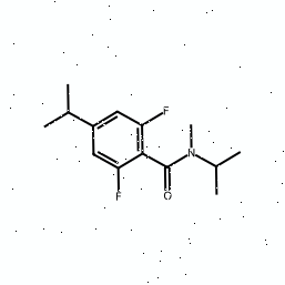 CC(C)c1cc(F)c(C(=O)N(C)C(C)C)c(F)c1